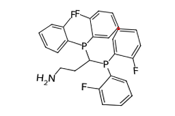 NCCC(P(c1ccccc1F)c1ccccc1F)P(c1ccccc1F)c1ccccc1F